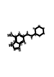 Oc1nc(SSC2CCCCC2)nc2nc[nH]c12